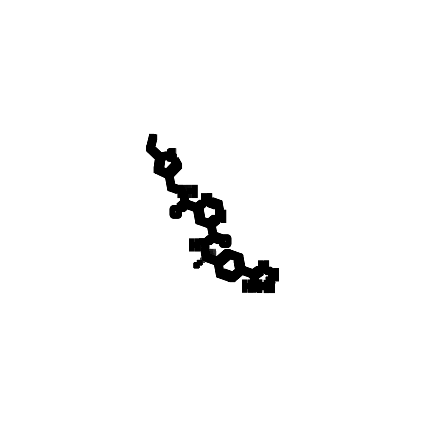 CCc1cc(CNC(=O)c2cc(C(=O)N[C@@H](C)c3ccc(-c4nnn[nH]4)cc3)ncn2)cs1